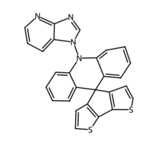 c1ccc2c(c1)N(n1cnc3ncccc31)c1ccccc1C21c2ccsc2-c2sccc21